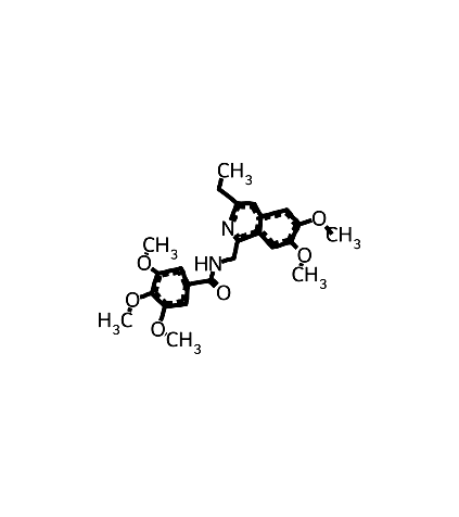 CCc1cc2cc(OC)c(OC)cc2c(CNC(=O)c2cc(OC)c(OC)c(OC)c2)n1